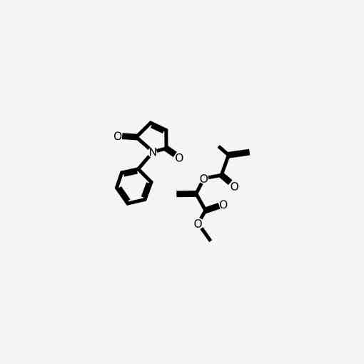 C=C(C)C(=O)OC(=C)C(=O)OC.O=C1C=CC(=O)N1c1ccccc1